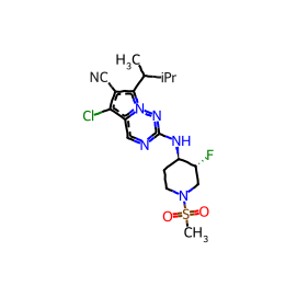 CC(C)C(C)c1c(C#N)c(Cl)c2cnc(N[C@@H]3CCN(S(C)(=O)=O)C[C@H]3F)nn12